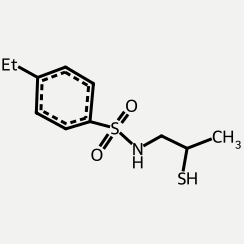 CCc1ccc(S(=O)(=O)NCC(C)S)cc1